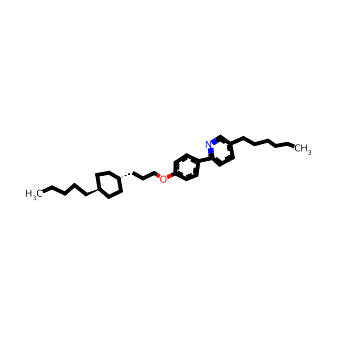 CCCCCCc1ccc(-c2ccc(OCCC[C@H]3CC[C@H](CCCCC)CC3)cc2)nc1